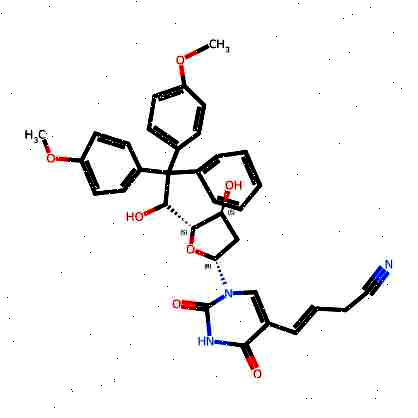 COc1ccc(C(c2ccccc2)(c2ccc(OC)cc2)C(O)[C@H]2O[C@@H](n3cc(C=CCC#N)c(=O)[nH]c3=O)C[C@@H]2O)cc1